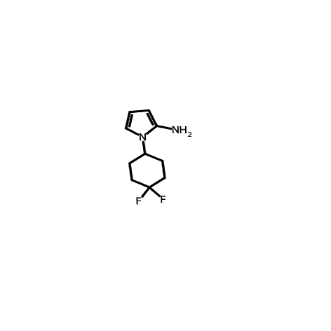 Nc1cccn1C1CCC(F)(F)CC1